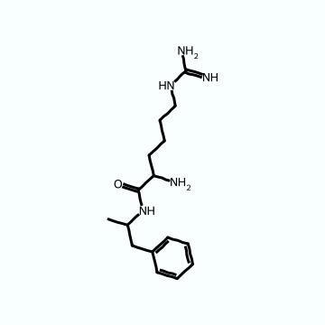 CC(Cc1ccccc1)NC(=O)C(N)CCCCNC(=N)N